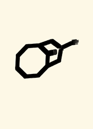 CC(C)N1CC2CCCCCC(C1)C2=O